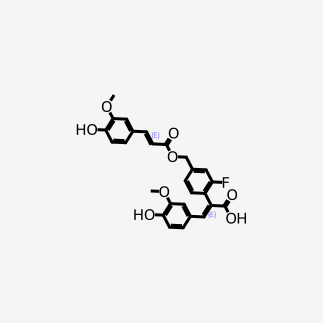 COc1cc(/C=C/C(=O)OCc2ccc(/C(=C\c3ccc(O)c(OC)c3)C(=O)O)c(F)c2)ccc1O